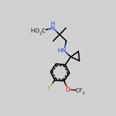 CC(C)(CNC1(c2ccc(F)c(OC(F)(F)F)c2)CC1)NC(=O)O